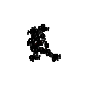 C=C(C)C(=O)Nc1ccc(OC(=O)NC(CC)CCOC(C)(C)CC(CC(C)(C)OCCC(C)(C)NC(=O)Oc2ccc(NC(=O)C(=C)C)cc2)(CC(C)(C)OCCC(C)(C)NC(=O)Oc2ccc(NC(=O)C(=C)C)cc2)CC(C)(C)OCC(C)(C)NC(=O)Oc2ccc(NC(=O)C(=C)C)cc2)cc1